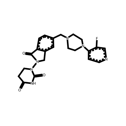 O=C1CCN(N2Cc3cc(CN4CCN(c5ccncc5F)CC4)ccc3C2=O)C(=O)N1